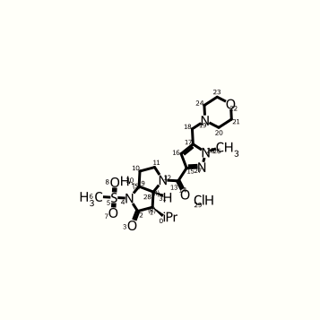 CC(C)[C@H]1C(=O)N(S(C)(=O)=O)[C@H]2CCN(C(=O)c3cc(CN4CCOCC4)n(C)n3)[C@H]12.Cl